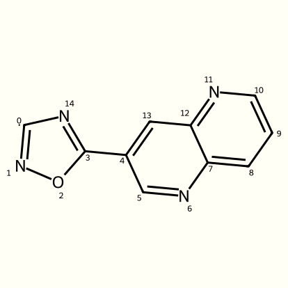 [c]1noc(-c2cnc3cccnc3c2)n1